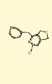 CCc1[c]c2c(c(Cc3ccccc3)n1)COC2